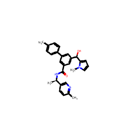 Cc1ccc(-c2cc(C(=O)N[C@H](C)c3ccc(C)nc3)cc(C(O)c3cccn3C)c2)cc1